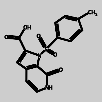 Cc1ccc(S(=O)(=O)n2c(C(=O)O)cc3cc[nH]c(=O)c32)cc1